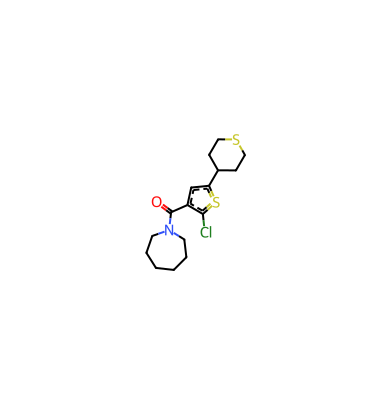 O=C(c1cc(C2CCSCC2)sc1Cl)N1CCCCCC1